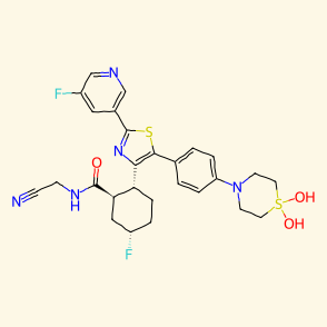 N#CCNC(=O)[C@@H]1C[C@@H](F)CC[C@H]1c1nc(-c2cncc(F)c2)sc1-c1ccc(N2CCS(O)(O)CC2)cc1